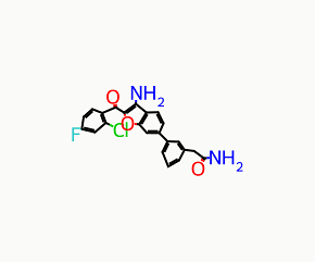 NC(=O)Cc1cccc(-c2ccc3c(N)c(C(=O)c4ccc(F)cc4Cl)oc3c2)c1